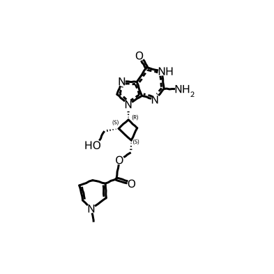 CN1C=CCC(C(=O)OC[C@H]2C[C@@H](n3cnc4c(=O)[nH]c(N)nc43)[C@H]2CO)=C1